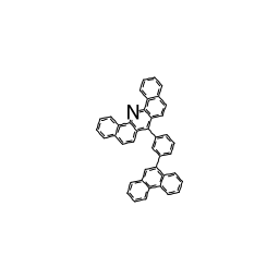 c1cc(-c2cc3ccccc3c3ccccc23)cc(-c2c3ccc4ccccc4c3nc3c2ccc2ccccc23)c1